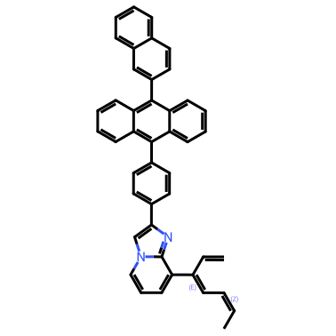 C=C/C(=C\C=C/C)c1cccn2cc(-c3ccc(-c4c5ccccc5c(-c5ccc6ccccc6c5)c5ccccc45)cc3)nc12